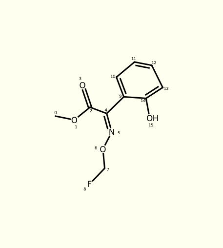 COC(=O)C(=NOCF)c1ccccc1O